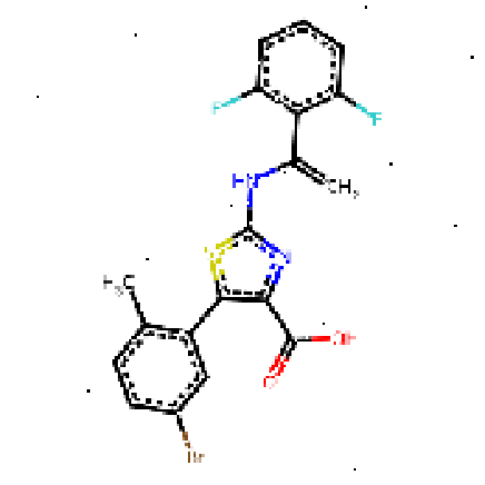 C=C(Nc1nc(C(=O)O)c(-c2cc(Br)ccc2C)s1)c1c(F)cccc1F